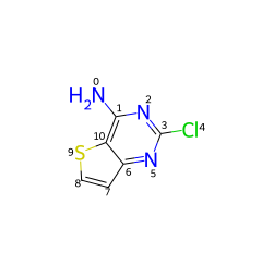 Nc1nc(Cl)nc2ccsc12